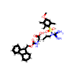 COc1cc(C)c(S(=O)(=O)N(CCC[C@H](NC(=O)OCC2c3ccccc3-c3ccccc32)C(=O)O)C(=N)N)c(C)c1C